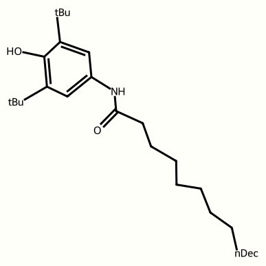 CCCCCCCCCCCCCCCCCC(=O)Nc1cc(C(C)(C)C)c(O)c(C(C)(C)C)c1